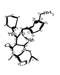 CC(C)CN1C(=O)N(C)C(=O)C2C(Nc3ccccc3)N(Cc3cccc(CN)c3)NC21